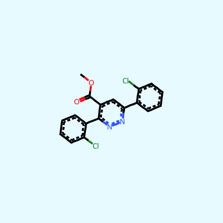 COC(=O)c1cc(-c2ccccc2Cl)nnc1-c1ccccc1Cl